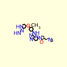 Cc1cc(Nc2ncnc3ccc(N4CC/C(=C\CN5CCC5)C4=O)nc23)ccc1Oc1cc[nH]/c(=N\C=N)c1